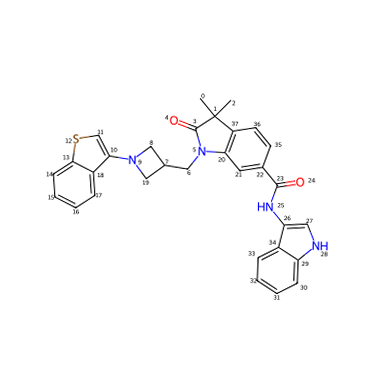 CC1(C)C(=O)N(CC2CN(c3csc4ccccc34)C2)c2cc(C(=O)Nc3c[nH]c4ccccc34)ccc21